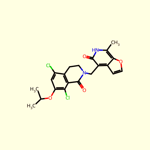 Cc1[nH]c(=O)c(CN2CCc3c(Cl)cc(OC(C)C)c(Cl)c3C2=O)c2ccoc12